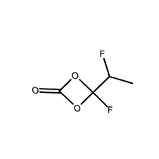 CC(F)C1(F)OC(=O)O1